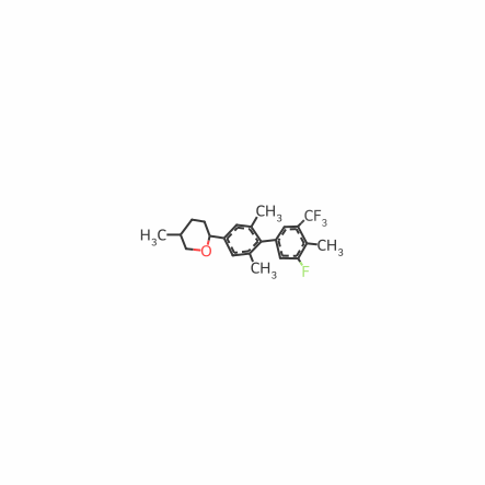 Cc1cc(C2CCC(C)CO2)cc(C)c1-c1cc(F)c(C)c(C(F)(F)F)c1